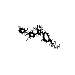 Nc1ncnc2c1c(-c1ccc(Oc3ccccc3)cc1)nn2C1CCC(=CCC(=O)NO)CC1